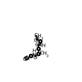 CCOC(=O)c1cccc(NC(=O)c2ccc(-c3cc(C(=O)Nc4ccc(N5CCOCC5)cc4)ccc3C)cc2)c1